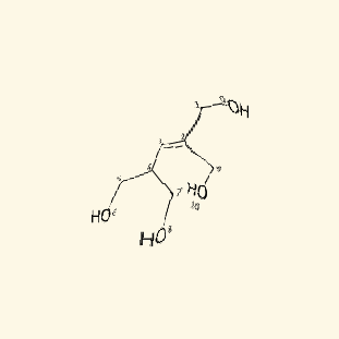 OCC(=CC(CO)CO)CO